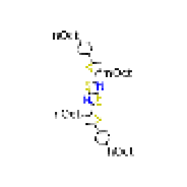 CCCCCCCCc1ccc(-c2cc(CCCCCCCC)c(-c3nc4sc(-c5sc(-c6ccc(CCCCCCCC)cc6)cc5CCCCCCCC)nc4s3)s2)cc1